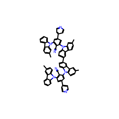 Cc1ccc2c(c1)c1ccccc1n2-c1cc(-c2ccncc2)cc(-n2c3ccc(C)cc3c3cc(-c4ccc5c(c4)c4ccc(C)cc4n5-c4cc(-c5ccncc5)cc(-n5c6ccccc6c6ccc(C)cc65)c4C#N)ccc32)c1C#N